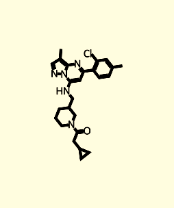 Cc1ccc(-c2cc(NCC3CCCN(C(=O)CC4CC4)C3)n3ncc(C)c3n2)c(Cl)c1